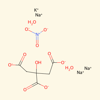 O.O.O=C([O-])CC(O)(CC(=O)[O-])C(=O)[O-].O=[N+]([O-])[O-].[K+].[Na+].[Na+].[Na+]